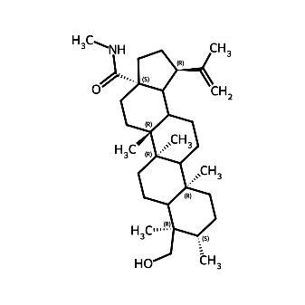 C=C(C)[C@@H]1CC[C@]2(C(=O)NC)CC[C@]3(C)C(CCC4[C@@]5(C)CC[C@H](C)[C@@](C)(CO)C5CC[C@]43C)C12